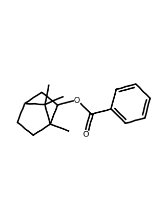 CC1(C)C2CCC1(C)C(OC(=O)c1ccccc1)C2